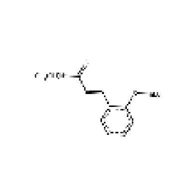 CCCCSc1ccccc1C=CC(=O)N(C)O